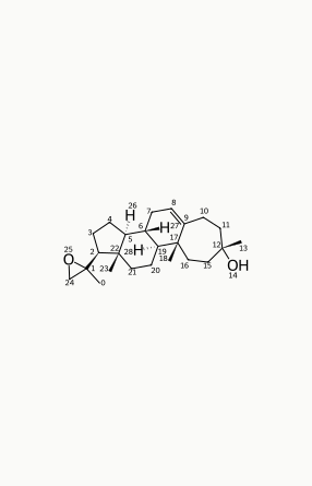 CC1([C@H]2CC[C@H]3[C@@H]4CC=C5CC[C@](C)(O)CC[C@]5(C)[C@H]4CC[C@]23C)CO1